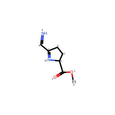 CCOC(=O)C1CCC(C=N)=N1